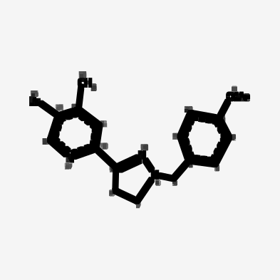 COc1ccc(CN2CCC(c3cc(C)c(Br)cn3)=N2)cc1